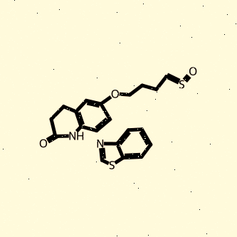 O=S=CCCCOc1ccc2c(c1)CCC(=O)N2.c1ccc2scnc2c1